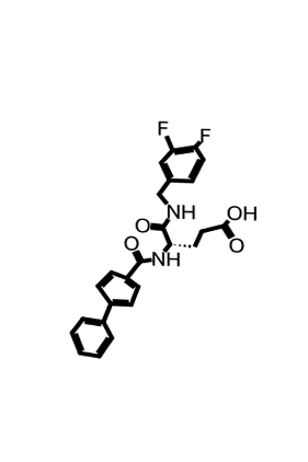 O=C(O)CC[C@H](NC(=O)c1ccc(-c2ccccc2)cc1)C(=O)NCc1ccc(F)c(F)c1